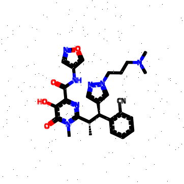 C[C@H](c1nc(C(=O)Nc2cnoc2)c(O)c(=O)n1C)[C@@H](c1cnn(CCCN(C)C)c1)c1ccccc1C#N